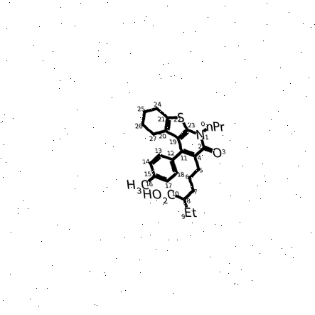 CCCn1c(=O)c(CCCC(CC)C(=O)O)c(-c2ccc(C)cc2)c2c3c(sc21)CCCC3